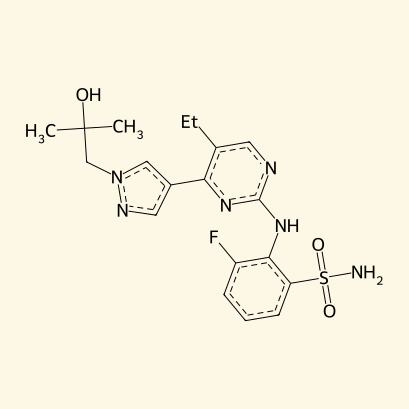 CCc1cnc(Nc2c(F)cccc2S(N)(=O)=O)nc1-c1cnn(CC(C)(C)O)c1